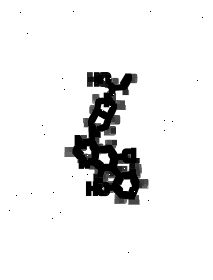 C=CC(O)N1CC2CN(c3ncnc4c(F)c(-c5c(O)cccc5F)c(Cl)cc34)CC2C1